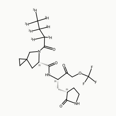 [2H]C([2H])([2H])C([2H])([2H])C([2H])([2H])C(=O)N1CC2(CC2)C[C@H]1C(=O)N[C@@H](C[C@@H]1CCNC1=O)C(=O)COC(F)(F)F